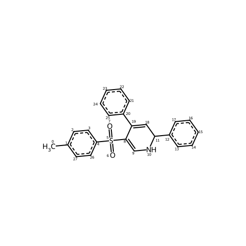 Cc1ccc(S(=O)(=O)C2=CNC(c3ccccc3)C=C2c2ccccc2)cc1